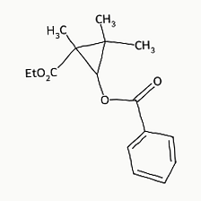 CCOC(=O)C1(C)C(OC(=O)c2ccccc2)C1(C)C